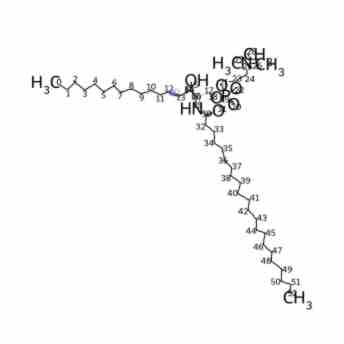 CCCCCCCCCCCC/C=C/[C@@H](O)[C@H](COP(=O)([O-])OCC[N+](C)(C)C)NC(=O)CCCCCCCCCCCCCCCCCCCCC